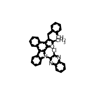 C=c1cccc/c1=C/c1c(C)oc2c1c1ccccc1c1c3ccccc3n(-c3nc4ccccc4nc3Cl)c21